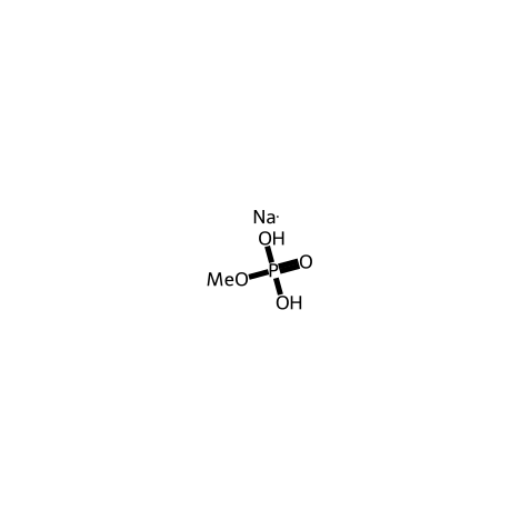 COP(=O)(O)O.[Na]